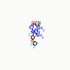 N#CC(=CC1(N)CC1)C(=O)N1CCC[C@H](n2nc(-c3ccc(Oc4cccc(F)c4F)cc3F)c3c(N)ncnc32)C1